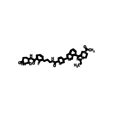 CCc1nc(-c2cccc3cc(-c4ccc(C(=O)NCCCc5cccc(C(=O)NC6CCC(=O)NC6=O)c5F)nc4)ncc23)c2n1CCN(C(C)=O)C2